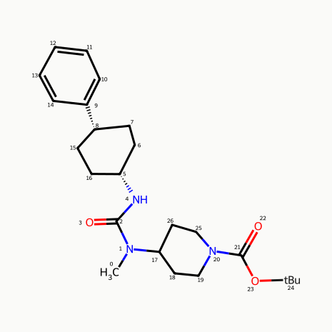 CN(C(=O)N[C@H]1CC[C@@H](c2ccccc2)CC1)C1CCN(C(=O)OC(C)(C)C)CC1